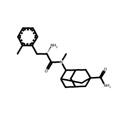 Cc1ccccc1C[C@H](N)C(=O)N(C)C1C2CC3CC1CC(C(N)=O)(C3)C2